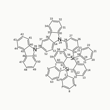 c1ccc([Si]2(c3ccccc3)c3ccccc3[Si](c3ccccc3)(c3cccc(-n4c5ccccc5c5cc(-n6c7ccccc7c7ccccc76)ccc54)c3)c3ccccc32)cc1